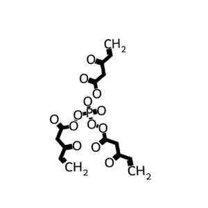 C=CC(=O)CC(=O)OOP(=O)(OOC(=O)CC(=O)C=C)OOC(=O)CC(=O)C=C